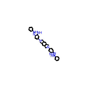 N=C1C=C(N2Cc3cc4c(cc3C2)CN(C2=CC(=N)/C(=N\Nc3ccccc3)C=C2)C4)C=C/C1=N/Nc1ccccc1